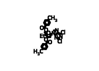 CCC1(COC(=O)c2ccc(C)cc2)OC(n2cnc3c(Cl)nc(Cl)nc32)CC1OC(=O)c1ccc(C)cc1